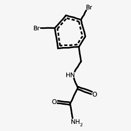 NC(=O)C(=O)NCc1cc(Br)cc(Br)c1